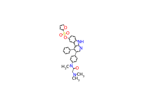 CN(C)CC(=O)N(C)c1ccc(-c2cnc3[nH]c4ccc(OS(=O)(=O)c5ccco5)cc4c3c2-c2ccccc2)cc1